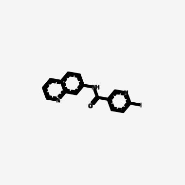 O=C(Nc1ccc2cccnc2c1)c1ccc(I)nc1